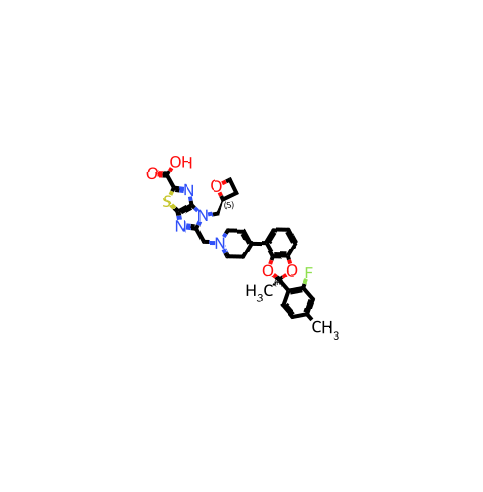 Cc1ccc([C@]2(C)Oc3cccc(C4=CCN(Cc5nc6sc(C(=O)O)nc6n5C[C@@H]5CCO5)CC4)c3O2)c(F)c1